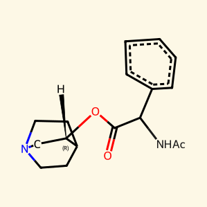 CC(=O)NC(C(=O)O[C@H]1CN2CCC1CC2)c1ccccc1